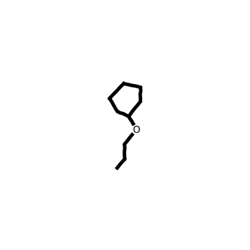 CCCOC1CC[CH]CC1